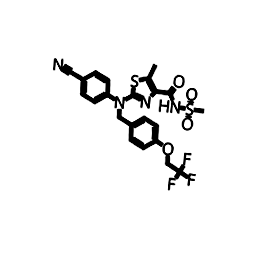 Cc1sc(N(Cc2ccc(OCC(F)(F)F)cc2)c2ccc(C#N)cc2)nc1C(=O)NS(C)(=O)=O